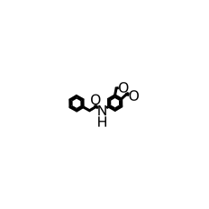 O=C(Cc1ccccc1)Nc1ccc2c(c1)COC2=O